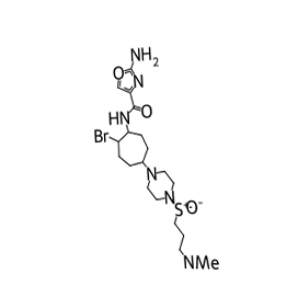 CNCCC[S+]([O-])N1CCN(C2CCC(Br)C(NC(=O)c3coc(N)n3)CC2)CC1